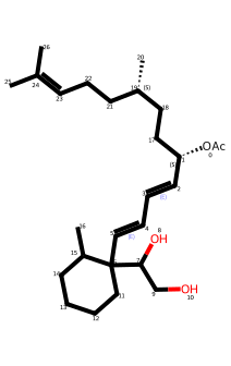 CC(=O)O[C@H](/C=C/C=C/C1(C(O)CO)CCCCC1C)CC[C@@H](C)CCC=C(C)C